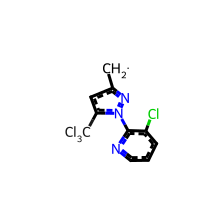 [CH2]c1cc(C(Cl)(Cl)Cl)n(-c2ncccc2Cl)n1